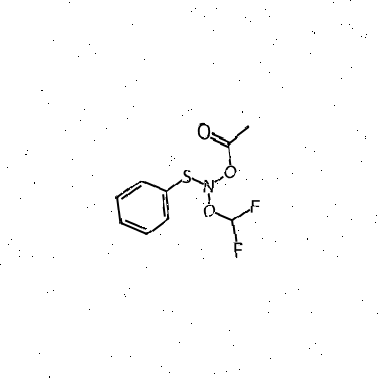 CC(=O)ON(OC(F)F)Sc1ccccc1